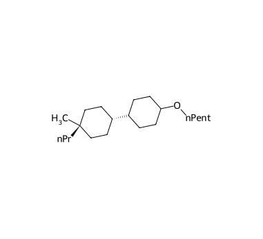 CCCCCOC1CCC([C@H]2CC[C@](C)(CCC)CC2)CC1